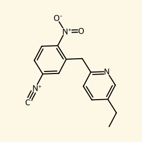 [C-]#[N+]c1ccc([N+](=O)[O-])c(Cc2ccc(CC)cn2)c1